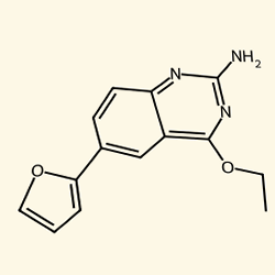 CCOc1nc(N)nc2ccc(-c3ccco3)cc12